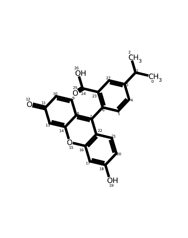 CC(C)c1ccc(-c2c3ccc(=O)cc-3oc3cc(O)ccc23)c(C(=O)O)c1